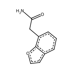 NC(=O)Cc1cccc2ccoc12